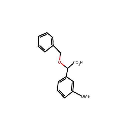 COc1cccc(C(OCc2ccccc2)C(=O)O)c1